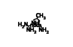 CC(CN)CCCN.CCCCC(N)N